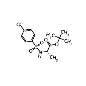 C[C@H](NS(=O)(=O)c1ccc(Cl)cc1)C(=O)OC(C)(C)C